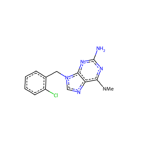 CNc1nc(N)nc2c1ncn2Cc1ccccc1Cl